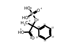 CC(OP(=O)(O)O)(C(=O)O)c1ccccc1